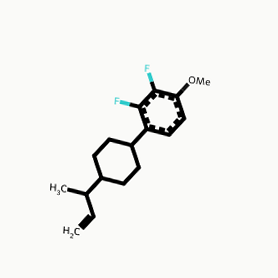 C=CC(C)C1CCC(c2ccc(OC)c(F)c2F)CC1